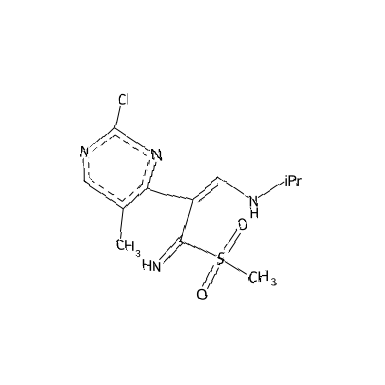 Cc1cnc(Cl)nc1/C(=C/NC(C)C)C(=N)S(C)(=O)=O